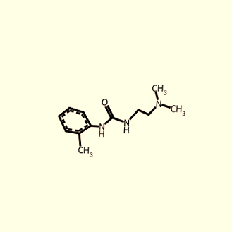 Cc1ccccc1NC(=O)NCCN(C)C